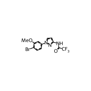 COc1cc(-n2ccc(NC(=O)C(F)(F)F)n2)ccc1Br